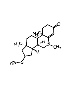 CCCSC1C[C@H]2[C@@H]3CN(C)C4=CC(=O)CC[C@]4(C)[C@@H]3CC[C@]2(C)C1